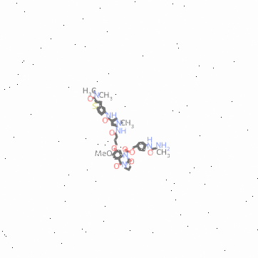 COc1cc2c(cc1OCCCC(=O)Nc1cc(C(=O)Nc3ccc4sc(C(=O)N(C)C)cc4c3)cn1C)N(C(=O)OCc1ccc(NC(=O)C(C)N)cc1)C1O[C@]13CCCN3C2=O